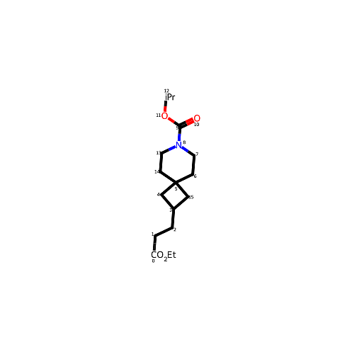 CCOC(=O)CCC1CC2(CCN(C(=O)OC(C)C)CC2)C1